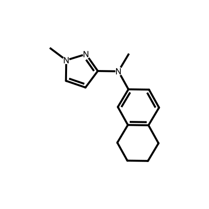 CN(c1ccc2c(c1)CCCC2)c1ccn(C)n1